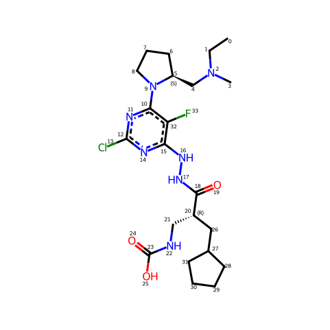 CCN(C)C[C@@H]1CCCN1c1nc(Cl)nc(NNC(=O)[C@@H](CNC(=O)O)CC2CCCC2)c1F